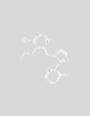 CCCc1c(Cl)ncnc1Cc1ccnn1-c1ncccc1F